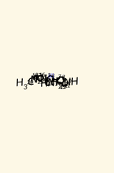 C=C(/C=C\C(=N)c1ccc2[nH]ccc2c1)N1CC2CN(C)C2C1